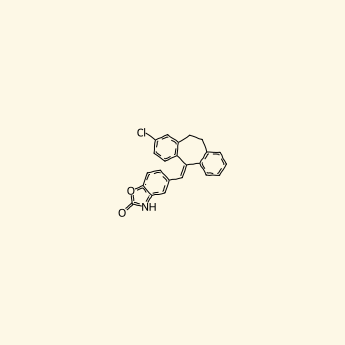 O=c1[nH]c2cc(/C=C3/c4ccccc4CCc4cc(Cl)ccc43)ccc2o1